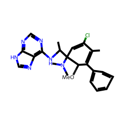 COC1C(c2ccccc2)=C(C)C(Cl)=CC1(C(C)Nc1ncnc2[nH]cnc12)N(C)C